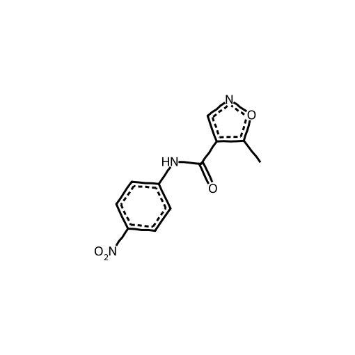 Cc1oncc1C(=O)Nc1ccc([N+](=O)[O-])cc1